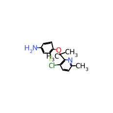 Cc1ccc(Cl)c(C(C)(C)Oc2ccc(N)cc2F)n1